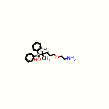 CC(C)(CCCOCCN)[Si](O)(c1ccccc1)c1ccccc1